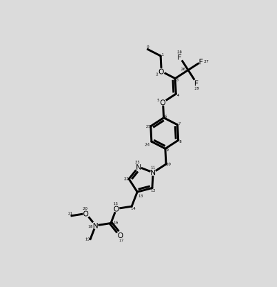 CCOC(=COc1ccc(Cn2cc(COC(=O)N(C)OC)cn2)cc1)C(F)(F)F